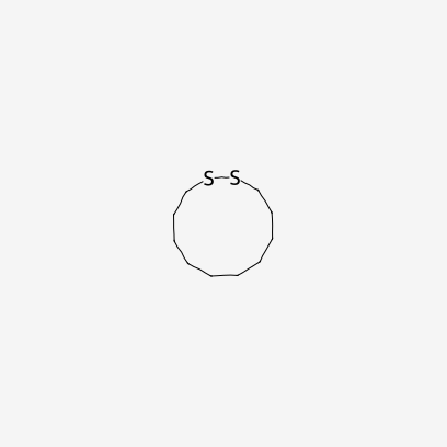 C1CCCCCSSCCCC1